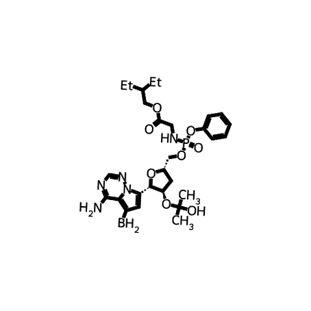 Bc1cc([C@@H]2O[C@H](COP(=O)(NCC(=O)OCC(CC)CC)Oc3ccccc3)C[C@H]2OC(C)(C)O)n2ncnc(N)c12